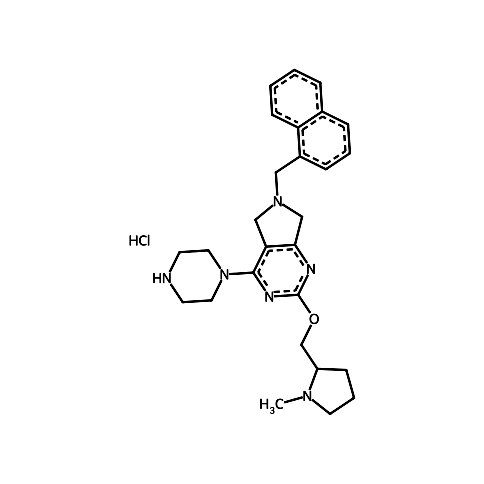 CN1CCCC1COc1nc2c(c(N3CCNCC3)n1)CN(Cc1cccc3ccccc13)C2.Cl